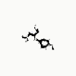 COc1ccc(O/C(C=O)=C\N(C)C)cc1